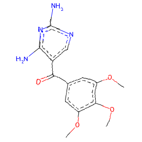 COc1cc(C(=O)c2cnc(N)nc2N)cc(OC)c1OC